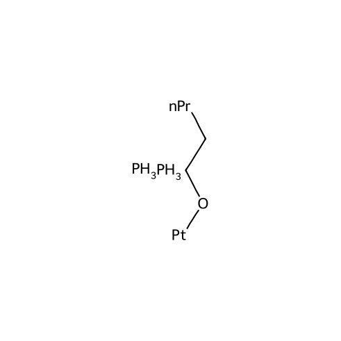 CCCCC[O][Pt].P.P